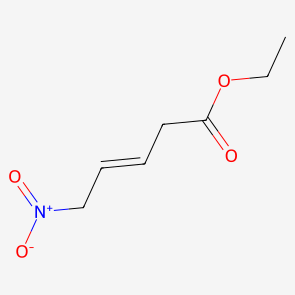 CCOC(=O)CC=CC[N+](=O)[O-]